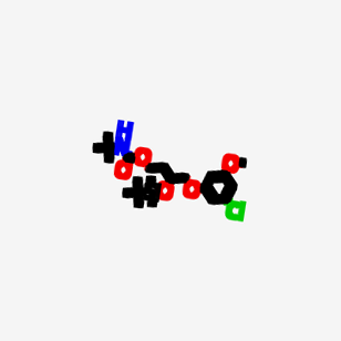 COc1cc(Cl)cc(OCC(CCOC(=O)NC(C)(C)C)O[Si](C)(C)C(C)(C)C)c1